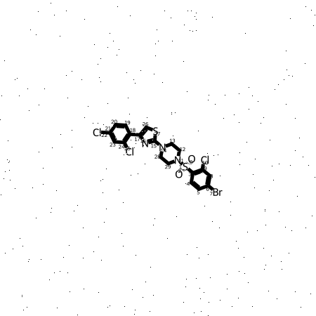 O=S(=O)(c1ccc(Br)cc1Cl)N1CCN(c2nc(-c3ccc(Cl)cc3Cl)cs2)CC1